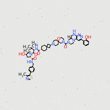 Cc1ncsc1-c1ccc(CNC(=O)[C@@H]2C[C@@H](O)CN2C(=O)[C@@H](NC(=O)[C@H]2CCC3(CC2)C[C@H](N2CCC4(CC2)CN(C(=O)N2CCN5c6cc(-c7ccccc7O)nnc6NC[C@H]5C2)CCO4)C3)C(C)(C)C)cc1